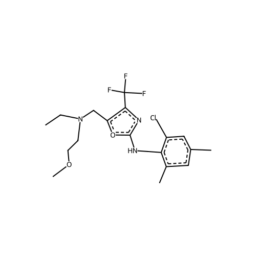 CCN(CCOC)Cc1oc(Nc2c(C)cc(C)cc2Cl)nc1C(F)(F)F